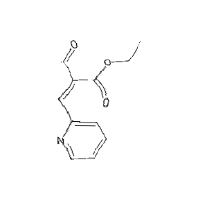 CCOC(=O)C([C]=O)=Cc1ccccn1